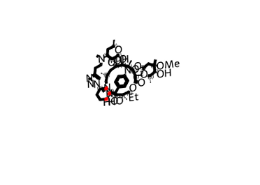 CC[C@H]1OC(=O)[C@H](C)[C@@H](O[C@H]2C[C@@](C)(OC)[C@@H](O)[C@H](C)O2)[C@H](C)[C@@H](O[C@@H]2O[C@H](C)C[C@H](N(C)CCc3cn([C@H]4CCCN(Cc5ccc([N+](=O)[O-])cc5)C4)nn3)[C@H]2O)[C@](C)(O)C[C@@H](C)CN(C)[C@H](C)[C@@H](O)[C@]1(C)O